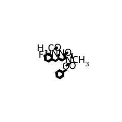 CC(=O)Nc1nc2c(cc1Cc1ccc(F)cc1)N(C(=O)OCc1ccccc1)[C@@H](C)CO2